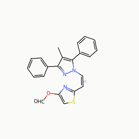 Cc1c(-c2ccccc2)nn(/C=C\c2nc(OC=O)cs2)c1-c1ccccc1